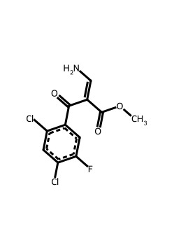 COC(=O)/C(=C/N)C(=O)c1cc(F)c(Cl)cc1Cl